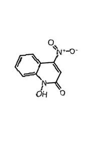 O=c1cc([N+](=O)[O-])c2ccccc2n1O